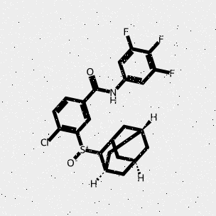 O=C(Nc1cc(F)c(F)c(F)c1)c1ccc(Cl)c([S+]([O-])C2C3C[C@H]4C[C@@H](C3)C[C@H]2C4)c1